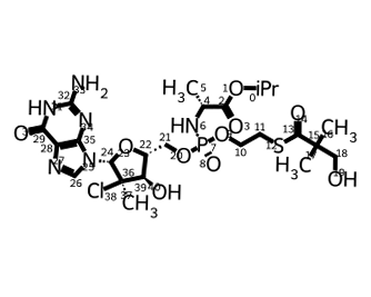 CC(C)OC(=O)[C@@H](C)N[P@@](=O)(OCCSC(=O)C(C)(C)CO)OC[C@H]1O[C@@H](n2cnc3c(=O)[nH]c(N)nc32)[C@](C)(Cl)[C@@H]1O